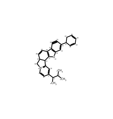 CC(C)C(C)c1cc[n+]2c(c1)C1c3oc4cc(C5C=CC=CC5)c#cc4c3C=CC1C2